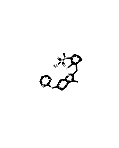 Cc1c(Cc2cccc(N(C)S(N)(=O)=O)c2F)sc2cc(Oc3ncccn3)ccc12